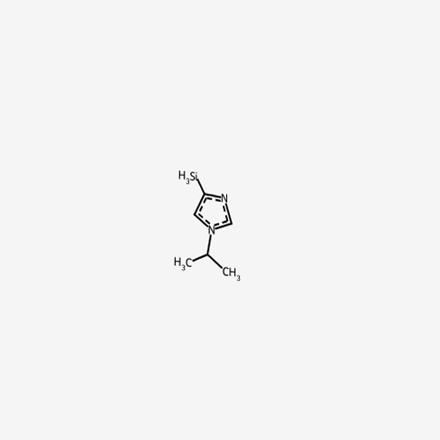 CC(C)n1cnc([SiH3])c1